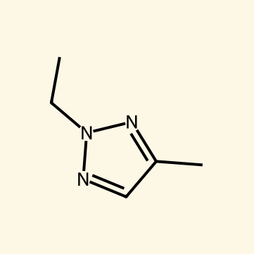 CCn1ncc(C)n1